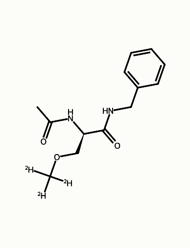 [2H]C([2H])([2H])OC[C@@H](NC(C)=O)C(=O)NCc1ccccc1